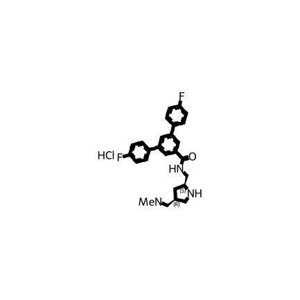 CNC[C@@H]1CN[C@H](CNC(=O)c2cc(-c3ccc(F)cc3)cc(-c3ccc(F)cc3)c2)C1.Cl